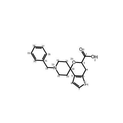 O=C(O)C1Cc2sccc2C2(CCN(Cc3ccccc3)CC2)O1